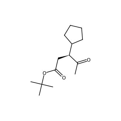 CC(=O)[C@@H](CC(=O)OC(C)(C)C)C1CCCC1